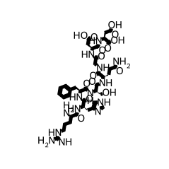 N=C(N)NCCC[C@H](N)C(=O)N[C@@H](Cc1c[nH]cn1)C(=O)N[C@@H](Cc1ccccc1)C(=O)N[C@@H](CO)C(=O)N[C@@H](CCC(N)=O)C(=O)NCC(=O)N[C@@H](CC(=O)O)C(=O)N[C@@H](CC(=O)O)C(=O)O